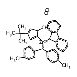 Cc1ccc([C](c2ccc(C)cc2)=[Zr+2]([C]2=CC(C(C)(C)C)=CC2C)[CH]2c3ccccc3-c3ccccc32)cc1.[Cl-].[Cl-]